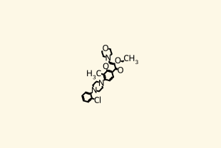 CCOc1c(N2CCOCC2)oc2c(C)c(N3CCN(c4ccccc4Cl)CC3)ccc2c1=O